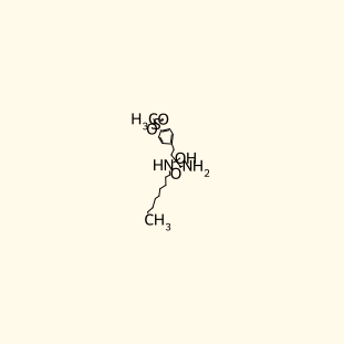 CCCCCCCCCNC(O)(CCc1ccc(S(C)(=O)=O)cc1)C(N)=O